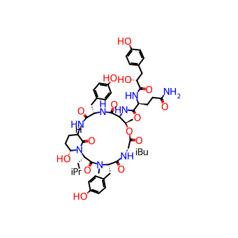 CC[C@H](C)[C@@H]1NC(=O)[C@H](Cc2ccc(O)cc2)N(C)C(=O)[C@H](CC(C)C)N2C(=O)[C@H](CC[C@H]2O)NC(=O)[C@H](Cc2ccc(O)cc2)NC(=O)[C@@H](NC(=O)[C@H](CCC(N)=O)NC(=O)[C@H](O)Cc2ccc(O)cc2)[C@@H](C)OC1=O